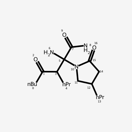 CCCCC(=O)C(CCC)C(N)(C(N)=O)N1CC(CCC)CC1=O